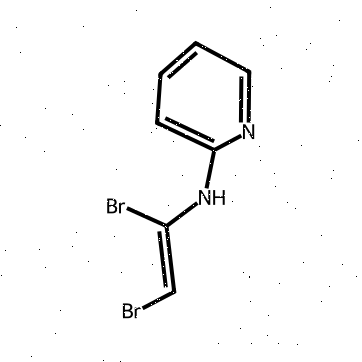 BrC=C(Br)Nc1ccccn1